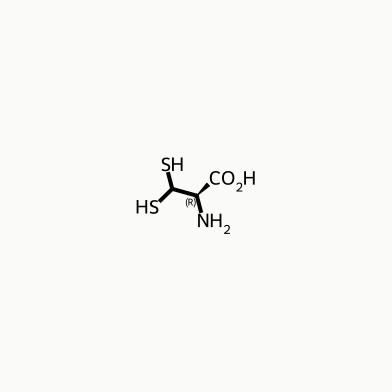 N[C@H](C(=O)O)C(S)S